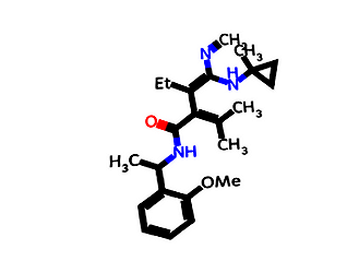 C=N/C(NC1(C)CC1)=C(\CC)C(C(=O)NC(C)c1ccccc1OC)=C(C)C